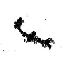 C=C(CCC(F)F)C1=C(CN2CCN(c3ccc(C(=O)NS(=O)(=O)c4ccc(N[C@H](CCN5CCN(CCCCCOc6cccc7c6C(=O)N(C6CCC(=O)NC6=O)C7=O)CC5)CSc5ccccc5)c(S(=O)(=O)C(F)(F)F)c4)cc3)CC2)CCC(C)(C)C1